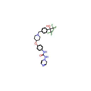 O=C(Nc1ccc(OC2CCN(Cc3ccc(C(O)(C(F)(F)F)C(F)(F)F)cc3)CC2)cc1)NN1C=CN=CC1